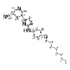 CCCCCCCCOc1ccc(Nc2nc(-c3cncc(C#N)c3)cs2)cc1